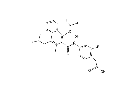 Cc1c(C(=O)N(O)c2ccc(CC(=O)O)c(F)c2)c(OC(F)F)c2ccccc2c1CC(F)F